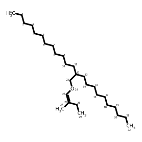 CCCCCCCCCCCCC(CCCCCCCCCC)COC=C(C)CC